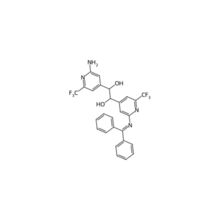 Nc1cc(C(O)C(O)c2cc(N=C(c3ccccc3)c3ccccc3)nc(C(F)(F)F)c2)cc(C(F)(F)F)n1